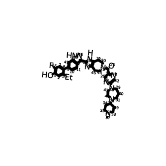 CCc1cc(O)c(F)cc1-c1ccc2c(-c3nc4c([nH]3)CCN(C(=O)c3cnc(N5CCCN(C6CCN(C)CC6)CC5)cn3)CC4)n[nH]c2c1